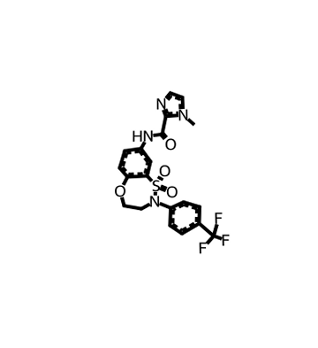 Cn1ccnc1C(=O)Nc1ccc2c(c1)S(=O)(=O)N(c1ccc(C(F)(F)F)cc1)CCO2